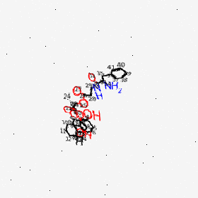 COc1c(O)ccc2c1[C@]13CCC[C@H](C2)[C@]1(O)CC=C(OC(=O)[C@H](C)OC(=O)CCNC(=O)[C@@H](N)Cc1ccccc1)C3